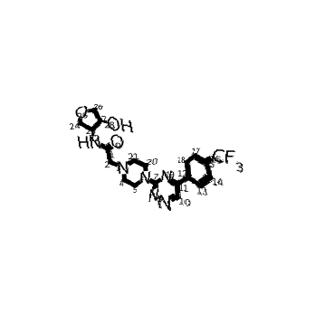 O=C(CN1CCN(c2nncc(-c3ccc(C(F)(F)F)cc3)n2)CC1)N[C@H]1COC[C@H]1O